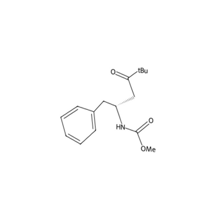 COC(=O)N[C@@H](CC(=O)C(C)(C)C)Cc1ccccc1